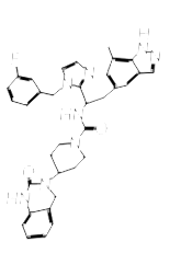 Cc1cc(CC(NC(=O)N2CCC(N3Cc4ccccc4NC3=O)CC2)c2nccn2Cc2cccc(F)c2)cc2cn[nH]c12